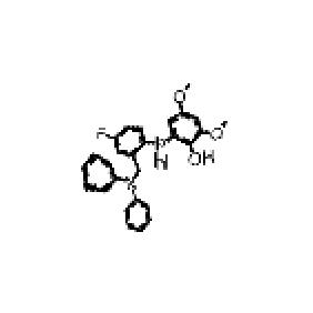 COc1cc(OC)c(O)c(Pc2ccc(F)cc2CN(c2ccccc2)c2ccccc2)c1